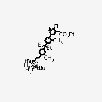 CCOC(=O)Cc1cc(-c2ccc(C(CC)(CC)c3ccc(CCC(O[Si](C)(C)C(C)(C)C)C(C)(C)C)c(C)c3)cc2C)nnc1Cl